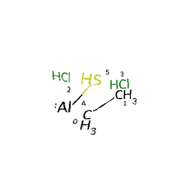 CC.Cl.Cl.[Al][SH]